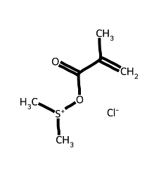 C=C(C)C(=O)O[S+](C)C.[Cl-]